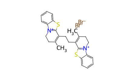 CC1=C(CCC2=C(C)CC[n+]3c2sc2ccccc23)c2sc3ccccc3[n+]2CC1.[Br-].[Br-]